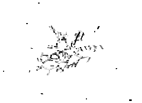 CCOC(=O)C(OCC)c1c(C)nc2sc3c(c2c1-c1ccc(C)cc1O)CCCC3